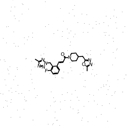 Cc1nnn(Cc2c(F)cccc2C=CC(=O)N2CCC(Cc3nnc(C)o3)CC2)n1